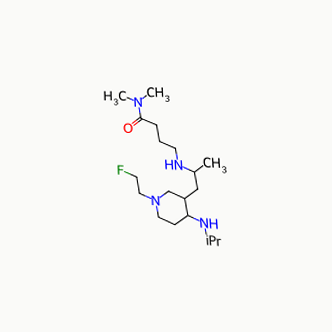 CC(C)NC1CCN(CCF)CC1CC(C)NCCCC(=O)N(C)C